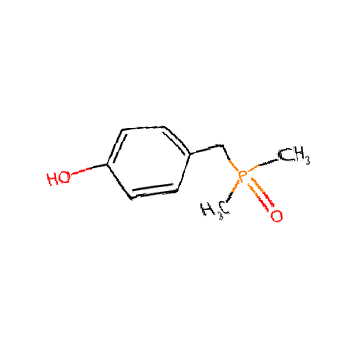 CP(C)(=O)Cc1ccc(O)cc1